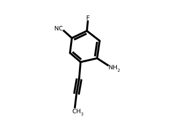 CC#Cc1cc(C#N)c(F)cc1N